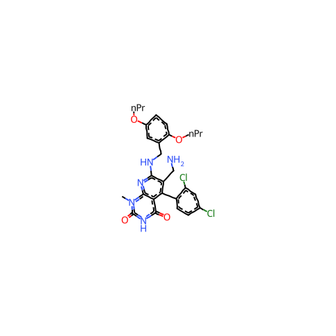 CCCOc1ccc(OCCC)c(CNc2nc3c(c(-c4ccc(Cl)cc4Cl)c2CN)c(=O)[nH]c(=O)n3C)c1